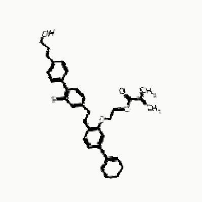 C=C(C)C(=O)OCCOc1cc(C2CCCCC2)ccc1CCc1ccc(-c2ccc(CCCO)cc2)c(F)c1